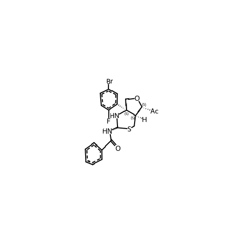 CC(=O)[C@H]1OC[C@]2(c3cc(Br)ccc3F)NC(NC(=O)c3ccccc3)SC[C@H]12